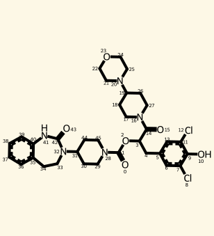 O=C(OC(Cc1cc(Cl)c(O)c(Cl)c1)C(=O)N1CCC(N2CCOCC2)CC1)N1CCC(N2CCc3ccccc3NC2=O)CC1